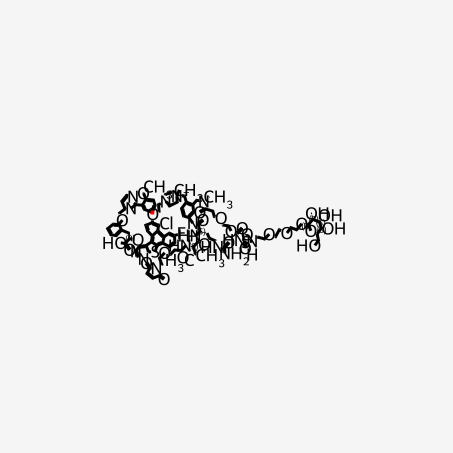 COc1ccccc1-c1nccc(COc2ccccc2C[C@@H](Oc2ncnc3sc4c5ccc(F)cc5c5c(Cl)c(OCCN6CC[N+](C)(Cc7ccc(NC(=O)[C@H](CCCNC(N)=O)NC(=O)[C@@H](NC(=O)CCOCCN8C(=O)C=CC8=O)C(C)C)cc7CN(C)C(=O)CCOCCOC(=O)NS(=O)(=O)NCCOCCOCCO[C@@H]7OC(CO)[C@@H](O)[C@H](O)[C@H]7O)CC6)ccc5c4c23)C(=O)O)n1